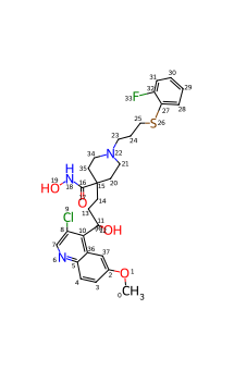 COc1ccc2ncc(Cl)c([C@H](O)CCC3(C(=O)NO)CCN(CCCSc4ccccc4F)CC3)c2c1